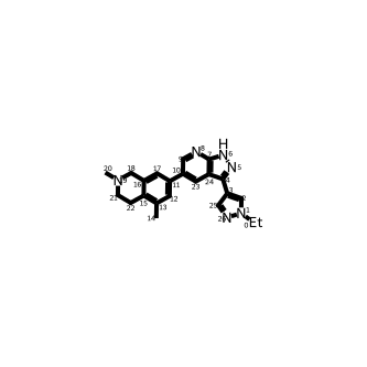 CCn1cc(-c2n[nH]c3ncc(-c4cc(C)c5c(c4)CN(C)CC5)cc23)cn1